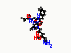 C=C(C)C(=O)NCC(=O)NC(Cc1ccccc1)C(=O)NC(CC(C)C)C(=O)NCC(=O)CC(O)CN